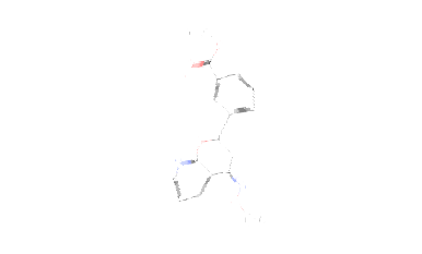 CO/N=C1/CC(c2cccc(C(=O)OC)c2)Oc2ncccc21